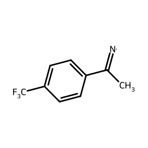 CC(=[N])c1ccc(C(F)(F)F)cc1